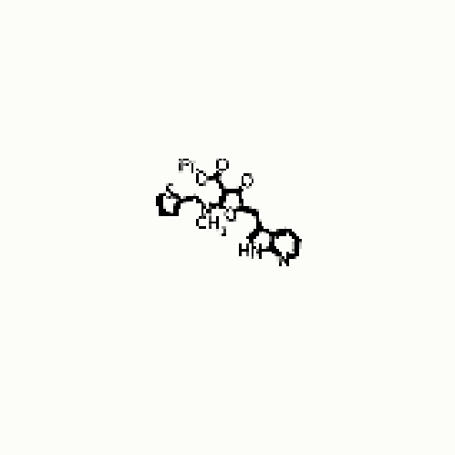 CC(C)OC(=O)C1=C(N(C)Cc2cccs2)OC(=Cc2c[nH]c3ncccc23)C1=O